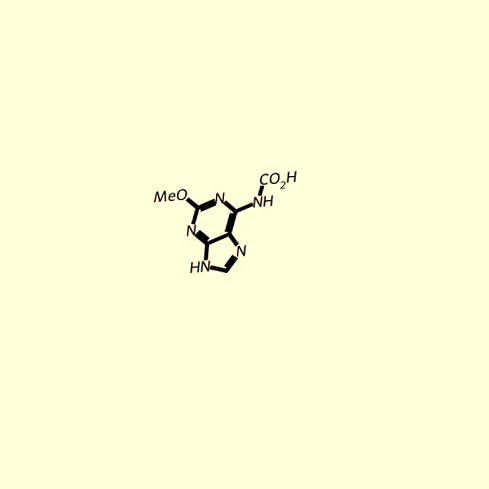 COc1nc(NC(=O)O)c2nc[nH]c2n1